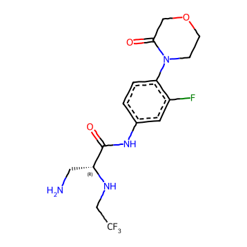 NC[C@@H](NCC(F)(F)F)C(=O)Nc1ccc(N2CCOCC2=O)c(F)c1